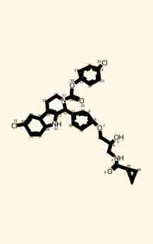 O=C(NCC(O)COc1ccc(C2C3=C(CCN2C(=O)Oc2ccc(Cl)cc2)C2C=C(Cl)C=CC2N3)cc1)C1CC1